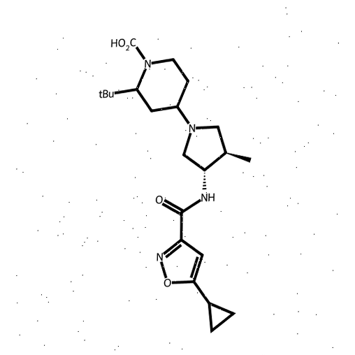 C[C@@H]1CN(C2CCN(C(=O)O)C(C(C)(C)C)C2)C[C@H]1NC(=O)c1cc(C2CC2)on1